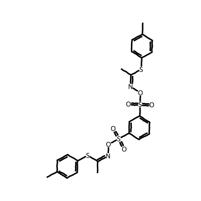 CC(=NOS(=O)(=O)c1cccc(S(=O)(=O)ON=C(C)Sc2ccc(C)cc2)c1)Sc1ccc(C)cc1